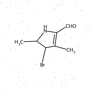 CC1=C(C=O)NC(C)C1Br